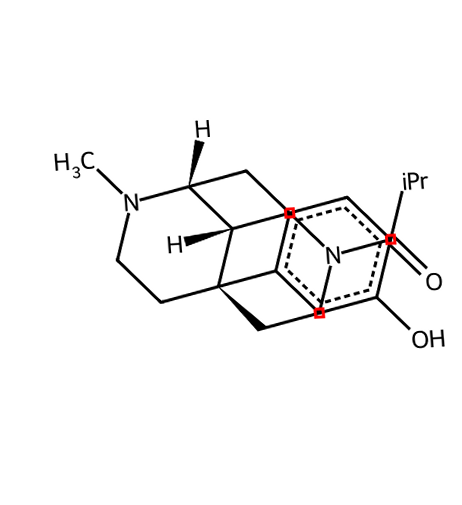 CC(C)C(=O)N1CC[C@]23CCN(C)[C@H](Cc4ccc(O)cc42)[C@@H]3C1